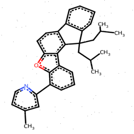 Cc1ccnc(-c2cccc3c2oc2ccc4c(c23)C(CC(C)C)(CC(C)C)c2ccccc2-4)c1